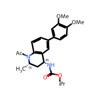 COc1ccc(-c2ccc3c(c2)[C@H](NC(=O)OC(C)C)C[C@H](C)N3C(C)=O)cc1OC